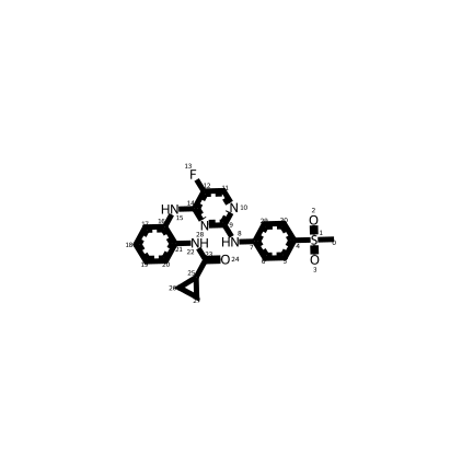 CS(=O)(=O)c1ccc(Nc2ncc(F)c(Nc3ccccc3NC(=O)C3CC3)n2)cc1